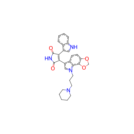 O=C1NC(=O)C(c2cn(CCCN3CCCCC3)c3c4c(ccc23)OCO4)=C1c1c[nH]c2ccccc12